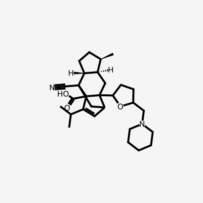 CC(C)C1=CC2CC3(C#N)[C@@H]4CC[C@@H](C)[C@H]4CC2(C2CCC(CN4CCCCC4)O2)C13C(=O)O